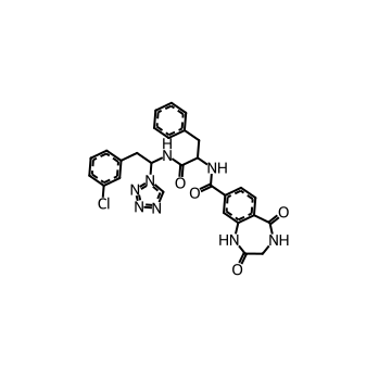 O=C1CNC(=O)c2ccc(C(=O)NC(Cc3ccccc3)C(=O)NC(Cc3cccc(Cl)c3)n3cnnn3)cc2N1